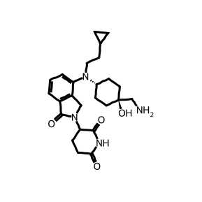 NC[C@]1(O)CC[C@H](N(CCC2CC2)c2cccc3c2CN(C2CCC(=O)NC2=O)C3=O)CC1